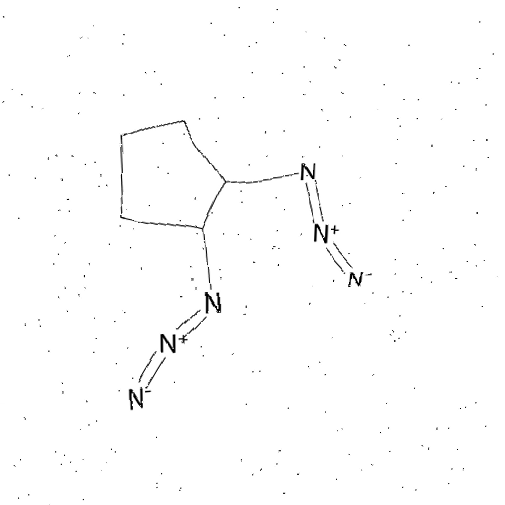 [N-]=[N+]=NC1CCCC1N=[N+]=[N-]